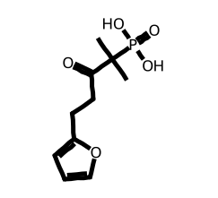 CC(C)(C(=O)CCc1ccco1)P(=O)(O)O